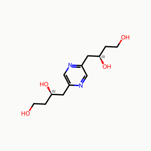 OCC[C@@H](O)Cc1cnc(C[C@H](O)CCO)cn1